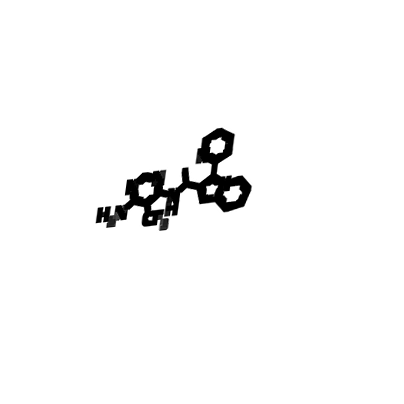 CC(Nc1ncnc(N)c1C(F)(F)F)c1cc2ccccn2c1-c1ccccn1